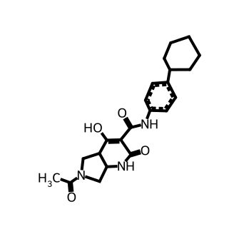 CC(=O)N1CC2NC(=O)C(C(=O)Nc3ccc(C4CCCCC4)cc3)=C(O)C2C1